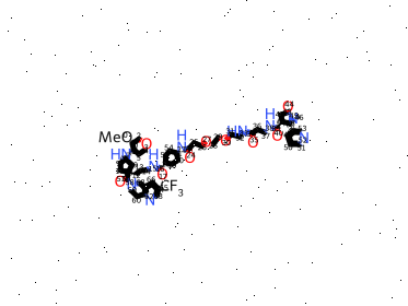 CO[C@H]1COCC[C@H]1N[C@H]1CC[C@@](CCCNC(=O)[C@H]2CC[C@@H](NC(=O)CCOCCOCCNC(=O)CCNC(=O)[C@H]3CC(=O)N(C)[C@@H]3c3cccnc3)CC2)(C(=O)N2CCc3ncc(C(F)(F)F)cc3C2)C1